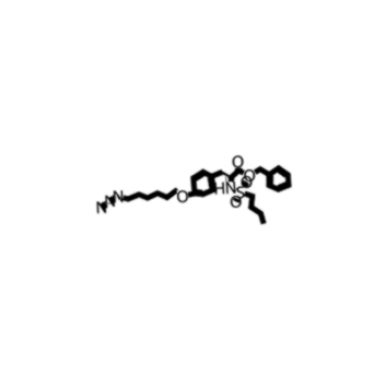 CCCCS(=O)(=O)N[C@@H](Cc1ccc(OCCCCCCN=[N+]=[N-])cc1)C(=O)OCc1ccccc1